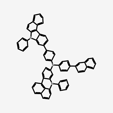 c1ccc(N2c3cc(N(c4ccc(-c5ccc6ccccc6c5)cc4)c4ccc(-c5ccc6c7c8ccccc8ccc7n(-c7ccccc7)c6c5)cc4)ccc3-c3cccc4cccc2c34)cc1